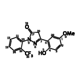 COc1ccc(O)c(C2=NN(c3ccccc3C(F)(F)F)C(=O)C2)c1